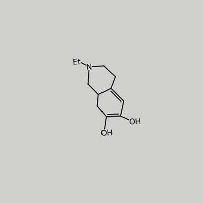 CCN1CCC2=CC(O)=C(O)CC2C1